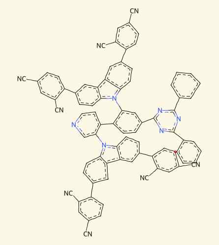 N#Cc1ccc(-c2ccc3c(c2)c2cc(-c4ccc(C#N)cc4C#N)ccc2n3-c2cnccc2-c2ccc(-c3nc(-c4ccccc4)nc(-c4ccccc4)n3)cc2-n2c3ccc(-c4ccc(C#N)cc4C#N)cc3c3cc(-c4ccc(C#N)cc4C#N)ccc32)c(C#N)c1